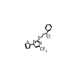 FC(F)(F)c1cc(-c2cccs2)nc(SCCC(Cl)c2ccccc2)n1